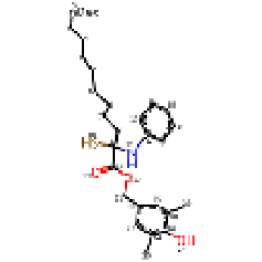 CCCCCCCCCCCCCCCCCCC(S)(Nc1ccccc1)C(=O)OCc1cc(C)c(O)c(C)c1